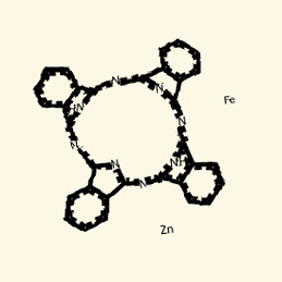 [Fe].[Zn].c1ccc2c(c1)-c1nc-2nc2[nH]c(nc3nc(nc4[nH]c(n1)c1ccccc41)-c1ccccc1-3)c1ccccc21